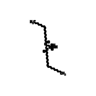 CCCCCC/C=C\CCCCCCCC(=O)O[C@@H](COC(=O)CCCCCCC/C=C\CCCCCCCC)COP(=O)(O)O